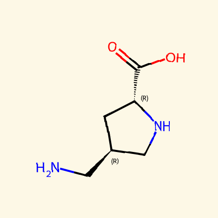 NC[C@@H]1CN[C@@H](C(=O)O)C1